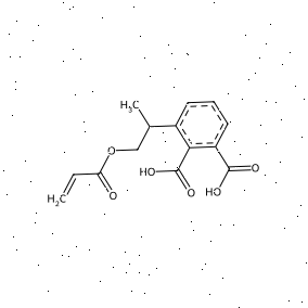 C=CC(=O)OCC(C)c1cccc(C(=O)O)c1C(=O)O